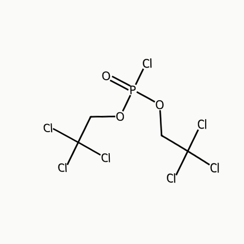 O=P(Cl)(OCC(Cl)(Cl)Cl)OCC(Cl)(Cl)Cl